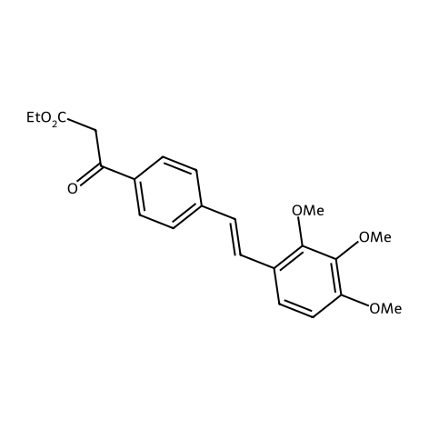 CCOC(=O)CC(=O)c1ccc(C=Cc2ccc(OC)c(OC)c2OC)cc1